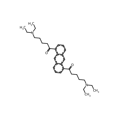 CCN(CC)CCCCC(=O)c1cccc2cc3c(C(=O)CCCCN(CC)CC)cccc3cc12